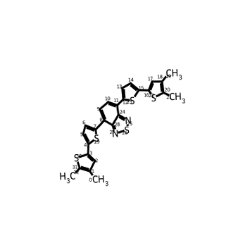 Cc1cc(-c2ccc(-c3ccc(-c4ccc(-c5cc(C)c(C)s5)s4)c4nsnc34)s2)sc1C